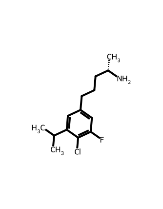 CC(C)c1cc(CCC[C@H](C)N)cc(F)c1Cl